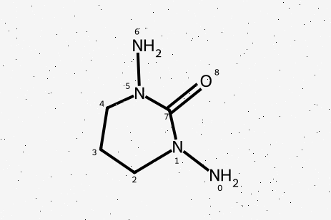 NN1CCCN(N)C1=O